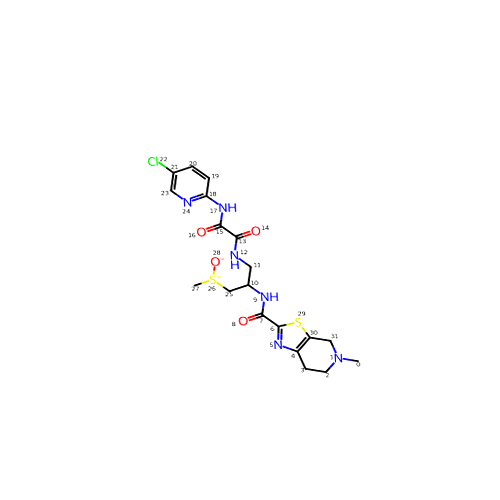 CN1CCc2nc(C(=O)NC(CNC(=O)C(=O)Nc3ccc(Cl)cn3)C[S+](C)[O-])sc2C1